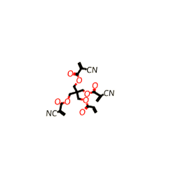 C=CC(=O)OCC(COC(=O)C(=C)C#N)(COC(=O)C(=C)C#N)COC(=O)C(=C)C#N